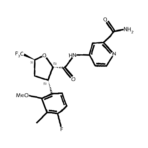 COc1c([C@@H]2C[C@@H](C(F)(F)F)O[C@@H]2C(=O)Nc2ccnc(C(N)=O)c2)ccc(F)c1C